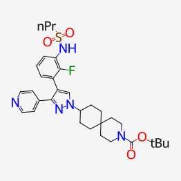 CCCS(=O)(=O)Nc1cccc(-c2cn(C3CCC4(CC3)CCN(C(=O)OC(C)(C)C)CC4)nc2-c2ccncc2)c1F